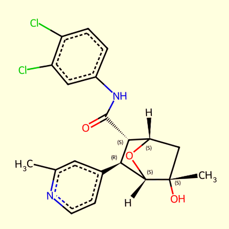 Cc1cc([C@H]2[C@H](C(=O)Nc3ccc(Cl)c(Cl)c3)[C@@H]3C[C@](C)(O)[C@H]2O3)ccn1